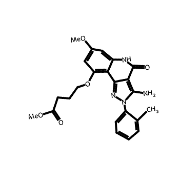 COC(=O)CCCOc1cc(OC)cc2[nH]c(=O)c3c(N)n(-c4ccccc4C)nc3c12